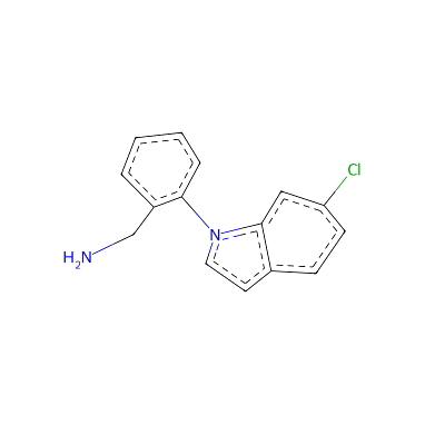 NCc1ccccc1-n1ccc2ccc(Cl)cc21